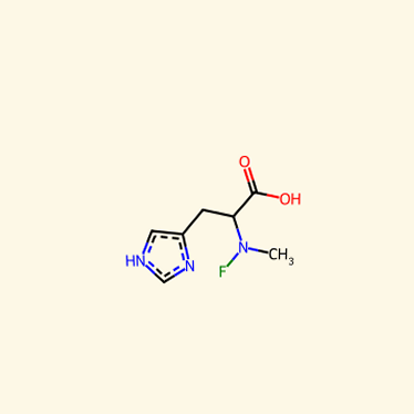 CN(F)C(Cc1c[nH]cn1)C(=O)O